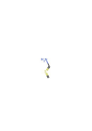 C=S=CN